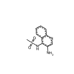 CS(=O)(=O)Nc1c(N)cnc2ccccc12